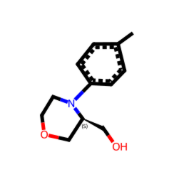 Cc1ccc(N2CCOC[C@@H]2CO)cc1